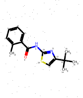 Cc1ccccc1C(=O)Nc1nc(C(C)(C)C)cs1